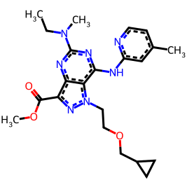 CCN(C)c1nc(Nc2cc(C)ccn2)c2c(n1)c(C(=O)OC)nn2CCOCC1CC1